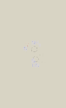 Nc1ccc(-c2cnc3c(c2Cl)C2(CC2)CN3)cc1C(=O)N1C2CCC1CC2